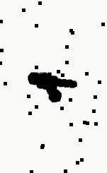 CCCCCCCCO[C@@H]1[C@@H](NC)[C@H](OCc2ccccc2)C[C@@H]1OCc1ccccc1